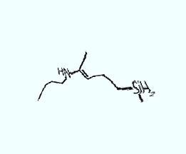 CCCNC(C)=CCC[SiH2]C